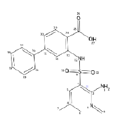 C=N/C(N)=C(\C=C(C)C)S(=O)(=O)Nc1cc(-c2ccccc2)ccc1C(=O)O